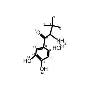 CC(C)(C)C(N)C(=O)c1ccc(O)c(O)c1.Cl